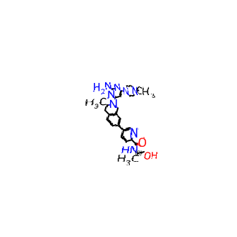 CC1Cc2ccc(-c3ccc(C(=O)N[C@H](C)CO)nc3)cc2CN1c1cc(N2CCN(C)CC2)nc(N)n1